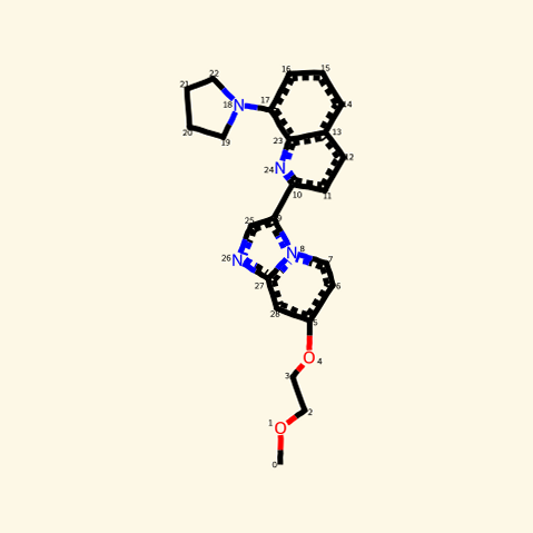 COCCOc1ccn2c(-c3ccc4cccc(N5CCCC5)c4n3)cnc2c1